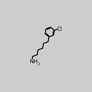 NCCCCCCc1cccc(Cl)c1